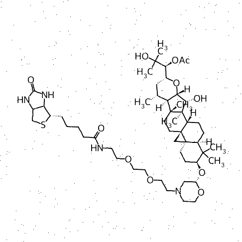 CC(=O)O[C@@H]([C@H]1C[C@@H](C)[C@H]2[C@H](O1)[C@H](O)[C@@]1(C)[C@@H]3CC[C@H]4C(C)(C)[C@@H](O[C@H]5CN(CCOCCOCCNC(=O)CCCC[C@@H]6SCC7NC(=O)NC76)CCO5)CC[C@@]45C[C@@]35CC[C@]21C)C(C)(C)O